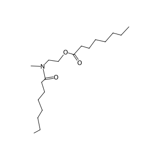 CCCCCCCC(=O)OCCN(C)C(=O)CCCCCCC